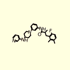 Cc1ccc(F)c(CC(C)C(=O)Nc2cccc(N3CCC(Nc4cccnc4)CC3)c2)c1C